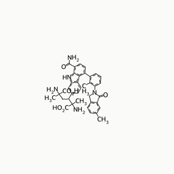 Cc1ccc2c(c1)C(=O)N(c1cccc(-c3ccc(C(N)=O)c4[nH]c5cc(C(CC(C)(N)C(=O)O)C(C)(N)C(=O)O)ccc5c34)c1C)C2